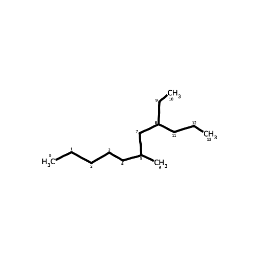 CCCCCC(C)[CH]C(CC)CCC